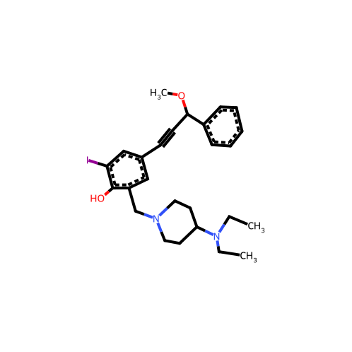 CCN(CC)C1CCN(Cc2cc(C#CC(OC)c3ccccc3)cc(I)c2O)CC1